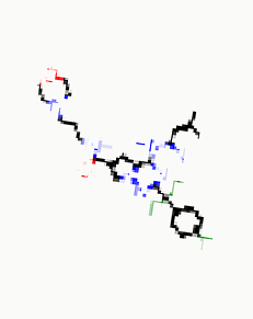 CC(C)=CC(=N)Nc1nc(C(F)(F)c2ccc(F)cc2)nn2cc(C(=O)NCCCN3CCOCC3)cc12